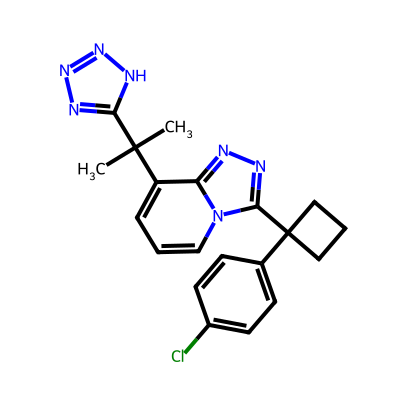 CC(C)(c1nnn[nH]1)c1cccn2c(C3(c4ccc(Cl)cc4)CCC3)nnc12